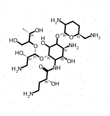 C[C@H](O)C(CO)O[C@H](O[C@@H]1C(O)C(O[C@H]2O[C@H](CN)CCC2N)[C@@H](N)[C@@H](O)C1NC(=O)[C@H](O)CCN)[C@@H](O)CN